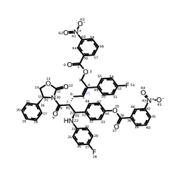 O=C(OC/C(=C\C[C@@H](C(=O)N1C(=O)OC[C@@H]1c1ccccc1)[C@H](Nc1ccc(F)cc1)c1ccc(OC(=O)c2cccc([N+](=O)[O-])c2)cc1)c1ccc(F)cc1)c1cccc([N+](=O)[O-])c1